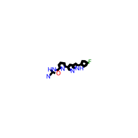 CC(C)(C#N)NC(=O)c1cccc(-c2cnc3[nH]c(-c4ccc(F)cc4)cc3c2)n1